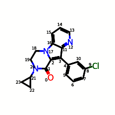 O=C1c2c(-c3cccc(Cl)c3)c3ncccc3n2CCN1C1CC1